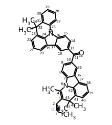 C/C=C\C1=C(C)n2c3ccc(C(=O)c4ccc5c(c4)c4cccc6c4n5-c4ccccc4C6(C)C)cc3c3cccc(c32)C1(C)C